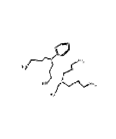 CCN(CCCN)CCCN.NCCCN(CCCN)c1ccccc1